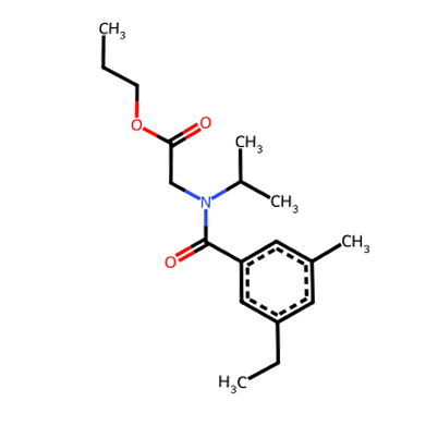 CCCOC(=O)CN(C(=O)c1cc(C)cc(CC)c1)C(C)C